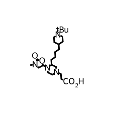 CN1CC(N2CCN(CCC(=O)O)CC2CCCCC2CCN(C(C)(C)C)CC2)OC1=O